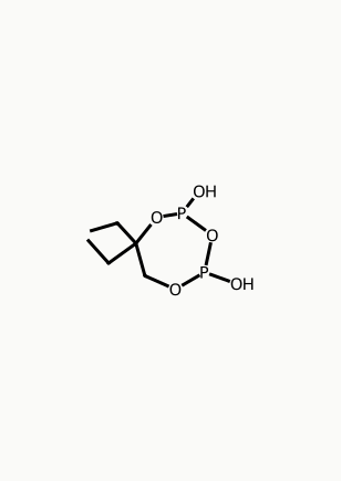 CCC1(CC)COP(O)OP(O)O1